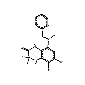 CN(Cc1ccccc1)c1cc(Br)c(F)c2c1NC(=O)C(C)(C)N2